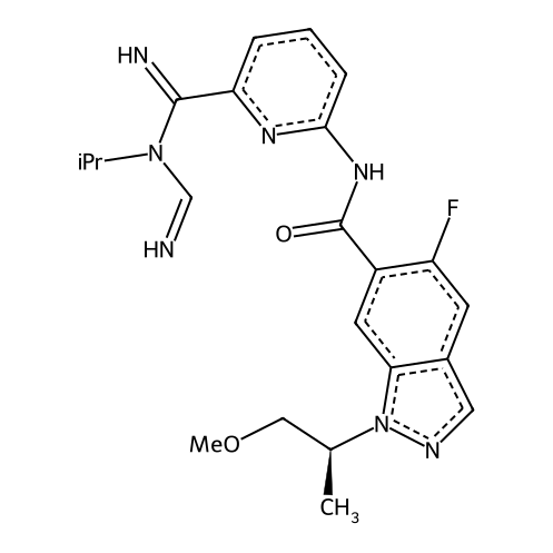 COC[C@H](C)n1ncc2cc(F)c(C(=O)Nc3cccc(C(=N)N(C=N)C(C)C)n3)cc21